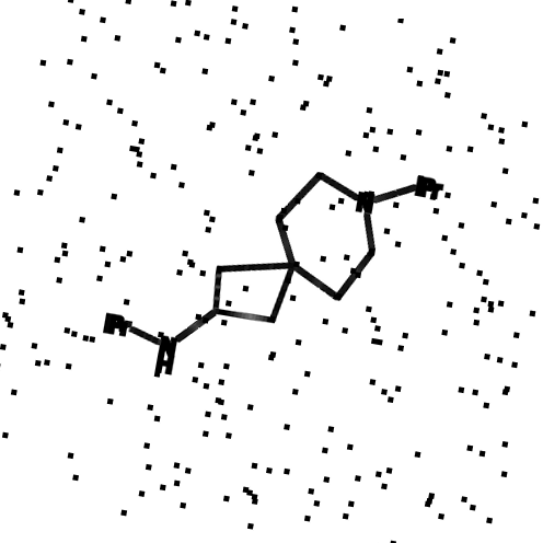 CC(C)NC1CC2(CCN(C(C)C)CC2)C1